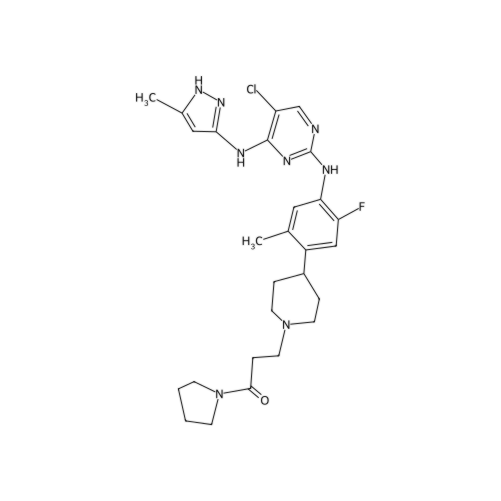 Cc1cc(Nc2nc(Nc3cc(C)c(C4CCN(CCC(=O)N5CCCC5)CC4)cc3F)ncc2Cl)n[nH]1